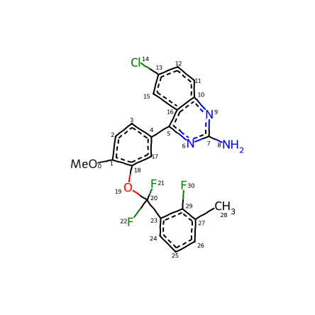 COc1ccc(-c2nc(N)nc3ccc(Cl)cc23)cc1OC(F)(F)c1cccc(C)c1F